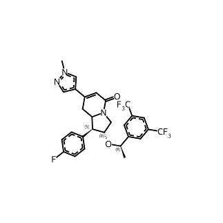 C[C@@H](O[C@H]1CN2C(=O)C=C(c3cnn(C)c3)CC2[C@@H]1c1ccc(F)cc1)c1cc(C(F)(F)F)cc(C(F)(F)F)c1